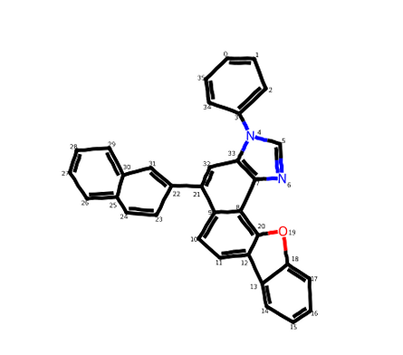 c1ccc(-n2cnc3c4c(ccc5c6ccccc6oc54)c(-c4ccc5ccccc5c4)cc32)cc1